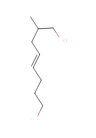 CC(CO)CC=CCCCO